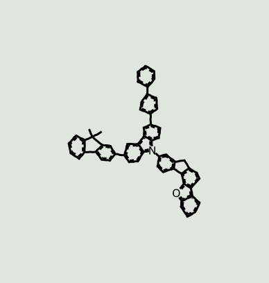 CC1(C)c2ccccc2-c2ccc(-c3ccc4c(c3)c3cc(-c5ccc(-c6ccccc6)cc5)ccc3n4-c3ccc4c(c3)Cc3ccc5c(oc6ccccc65)c3-4)cc21